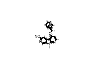 N#Cc1cc2c(cn1)[nH]c1nccc(OCC3CN4CCC3CC4)c12